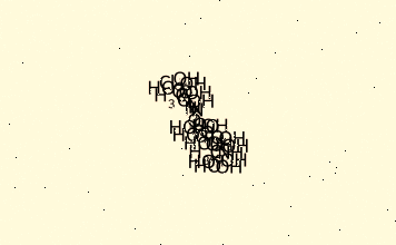 CC1OC(OC2C(CO)OC(OC3C(CO)OC(OCc4cn(C[C@H]5O[C@@](C)(O[C@H]6O[C@H](CO)[C@H](Cl)[C@H](O)[C@H]6O)[C@@H](O)[C@@H]5O)nn4)C(O)C3O)C(O)C2O)C(O)C(O)C1N[C@H]1C=C(CO)[C@@H](O)[C@H](O)[C@H]1O